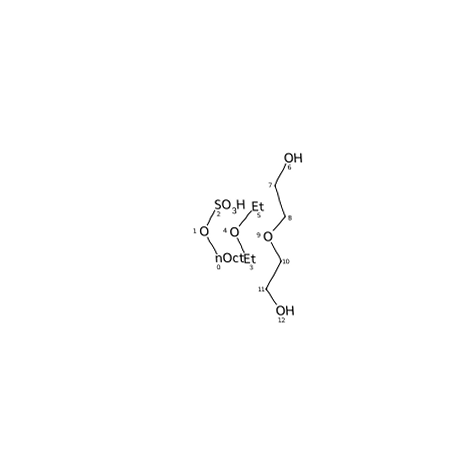 CCCCCCCCOS(=O)(=O)O.CCOCC.OCCOCCO